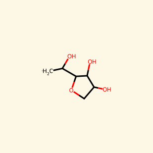 [CH2]C(O)C1OCC(O)C1O